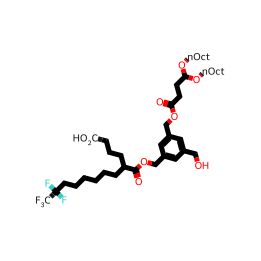 CCCCCCCCOC(CCC(=O)OCc1cc(CO)cc(COC(=O)C(CCCCCCC(F)(F)C(F)(F)F)CCCC(=O)O)c1)OCCCCCCCC